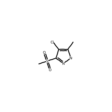 CC1=C(Cl)C(S(C)(=O)=O)=N[N]1